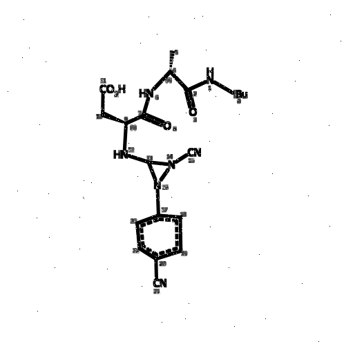 CCC(C)NC(=O)[C@@H](C)NC(=O)[C@H](CC(=O)O)NC1N(C#N)N1c1ccc(C#N)cc1